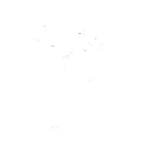 CCc1c(F)ccc2cc(OCOC)cc(-c3nc4c5c(nc(OC[C@@]67CCCN6C[C@H](F)C7)nc5c3F)N3C[C@@H]5CC[C@H]([C@H]3CO4)N5C(=O)OC(C)(C)C)c12